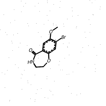 COc1cc2c(cc1Br)OCCNC2=O